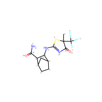 CC1(C(F)(F)F)SC(NC2C3CCC(C3)C2C(N)=O)=NC1=O